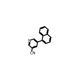 N#Cc1cncc(-c2cc[c]c3ccccc23)c1